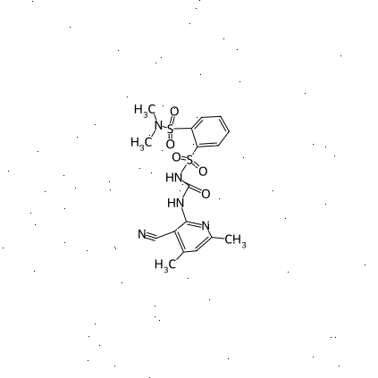 Cc1cc(C)c(C#N)c(NC(=O)NS(=O)(=O)c2ccccc2S(=O)(=O)N(C)C)n1